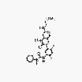 CCn1c(=O)c(-c2cc(NC(=O)Nc3ccccc3)c(F)cc2F)cc2cnc(NCCOC)cc21